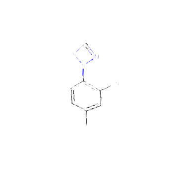 N#Cc1cc(C=O)ccc1-n1nc[nH]1